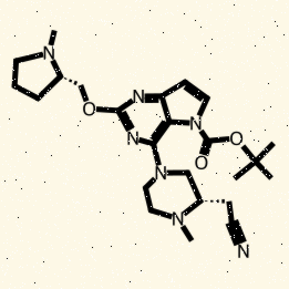 CN1CCC[C@H]1COc1nc(N2CCN(C)[C@@H](CC#N)C2)c2c(ccn2C(=O)OC(C)(C)C)n1